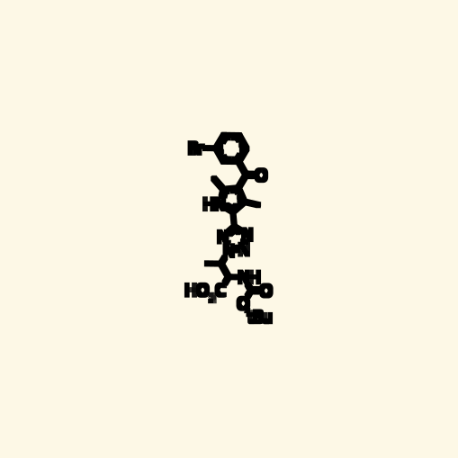 Cc1[nH]c(-c2nnn(C(C)C(NC(=O)OC(C)(C)C)C(=O)O)n2)c(C)c1C(=O)c1cccc(Br)c1